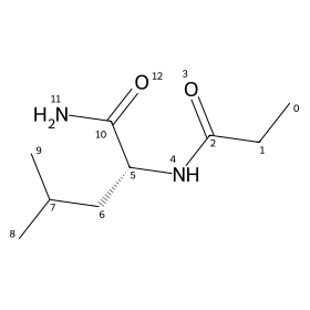 CCC(=O)N[C@H](CC(C)C)C(N)=O